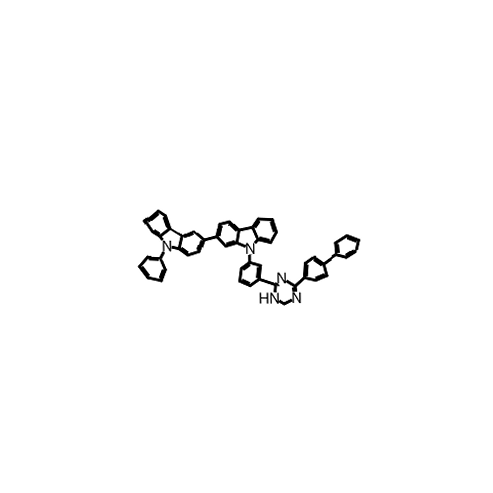 c1ccc(-c2ccc(C3=NCNC(c4cccc(-n5c6ccccc6c6ccc(-c7ccc8c(c7)c7ccccc7n8-c7ccccc7)cc65)c4)=N3)cc2)cc1